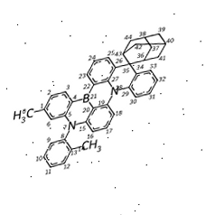 Cc1ccc2c(c1)N(c1ccccc1C)c1cccc3c1B2c1cccc2c1N3c1ccccc1C21C2CC3CC(C2)CC1C3